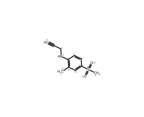 C#CCNc1ccc(S(C)(=O)=O)cc1C